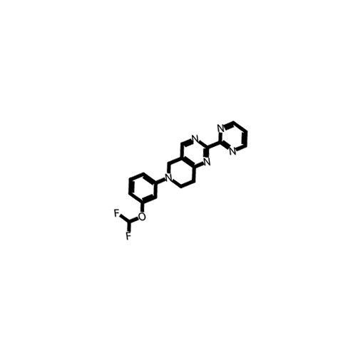 FC(F)Oc1cccc(N2CCc3nc(-c4ncccn4)ncc3C2)c1